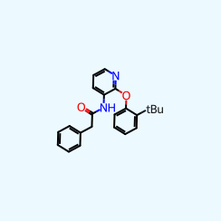 CC(C)(C)c1ccccc1Oc1ncccc1NC(=O)Cc1ccccc1